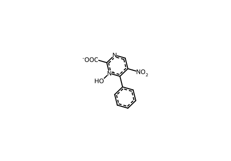 O=C([O-])c1ncc([N+](=O)[O-])c(-c2ccccc2)[n+]1O